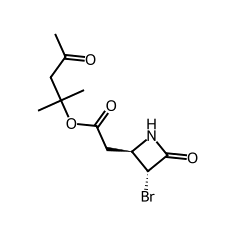 CC(=O)CC(C)(C)OC(=O)C[C@H]1NC(=O)[C@@H]1Br